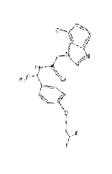 CC(NC(=O)Cn1cnc2cccc(Cl)c21)c1ccc(OCC(F)F)cc1